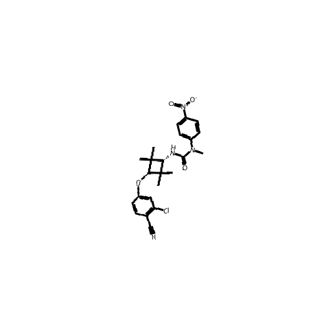 CN(C(=O)N[C@H]1C(C)(C)[C@H](Oc2ccc(C#N)c(Cl)c2)C1(C)C)c1ccc([N+](=O)[O-])cc1